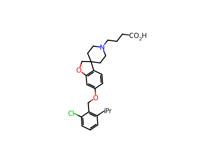 CC(C)c1cccc(Cl)c1COc1ccc2c(c1)OCC21CCN(CCCC(=O)O)CC1